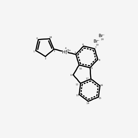 C1=CC[C]([Hf+2][c]2cccc3c2Cc2ccccc2-3)=C1.[Br-].[Br-]